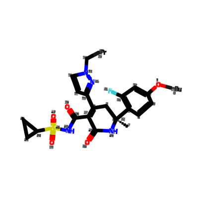 CCCCOc1ccc([C@]2(C)CC(c3ccn(CC(C)C)n3)=C(C(=O)NS(=O)(=O)C3CC3)C(=O)N2)c(F)c1